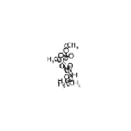 COC[C@H]1O[C@@H](n2ccc(NC(=O)OC(C)(C)C)nc2=O)C[C@@H]1COC(c1ccccc1)(c1ccccc1)c1ccc(OC)cc1